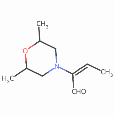 CC=C(C=O)N1CC(C)OC(C)C1